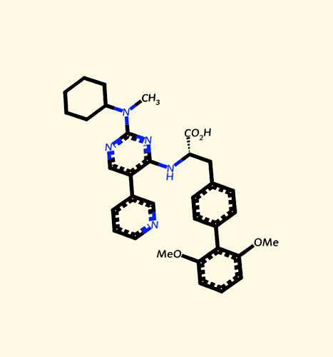 COc1cccc(OC)c1-c1ccc(C[C@H](Nc2nc(N(C)C3CCCCC3)ncc2-c2cccnc2)C(=O)O)cc1